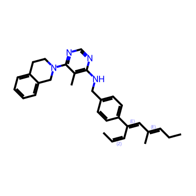 C\C=C/C(=C\C(C)=C\CC)c1ccc(CNc2ncnc(N3CCc4ccccc4C3)c2C)cc1